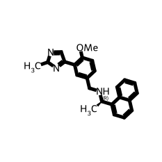 COc1ccc(CN[C@H](C)c2cccc3ccccc23)cc1C1=NC(C)N=C1